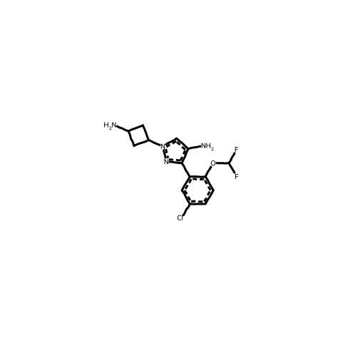 Nc1cn(C2CC(N)C2)nc1-c1cc(Cl)ccc1OC(F)F